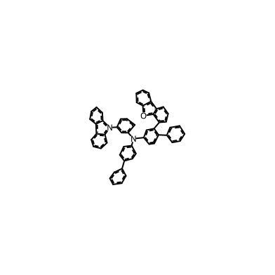 c1ccc(-c2ccc(N(c3cccc(-n4c5ccccc5c5ccccc54)c3)c3ccc(-c4ccccc4)c(-c4cccc5c4oc4ccccc45)c3)cc2)cc1